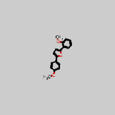 COc1ccc(-c2ccc(-c3ccccc3OC)o2)cc1